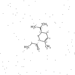 CCC(=O)[C@@H]1C[C@@H](C(C)C)CC=C1C